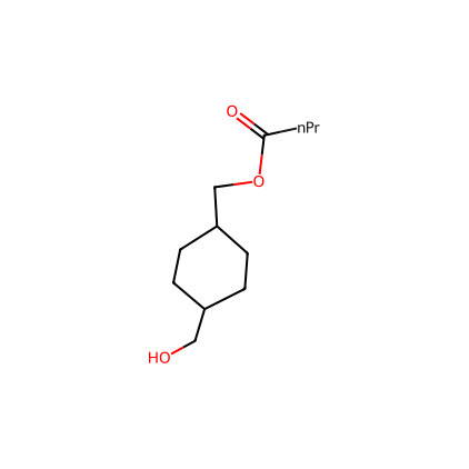 CCCC(=O)OCC1CCC(CO)CC1